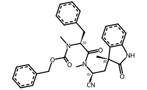 CN(C(=O)[C@H](Cc1ccccc1)N(C)C(=O)OCc1ccccc1)[C@H](C#N)C[C@@]1(C)C(=O)Nc2ccccc21